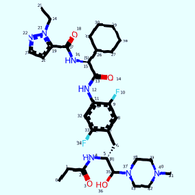 CCC(=O)N[C@H](Cc1cc(F)c(NC(=O)[C@@H](NC(=O)c2ccnn2CC)C2CCCCC2)cc1F)C(O)N1CCN(C)CC1